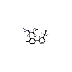 CO/C=C(\Oc1cc(-c2cccc(C(F)(F)F)n2)ccc1C)C(=O)OC